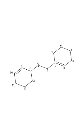 [CH](CC1=CCCCC1)C1C=CCCC1